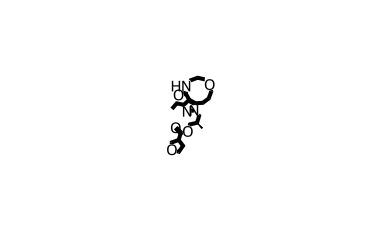 CCc1nn(C[C@@H](C)COC(=O)C2CCOC2)c2c1C(=O)NCCCOCCC2